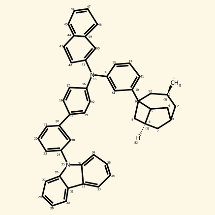 C[C@H]1CC2CC3[C@@H](C2)CC3(c2cccc(N(c3ccc(-c4cccc(-n5c6ccccc6c6ccccc65)c4)cc3)c3ccc4ccccc4c3)c2)C1